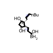 B[C@@H](O)/C=C/[C@@H]1[C@@H](C/C=C\CCCC)[C@@H](O)C[C@H]1O